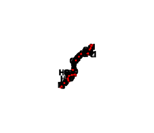 Cc1ncsc1-c1ccc([C@H](C)NC(=O)C2C[C@@H](O)CN2C(=O)C(NC(=O)COCCOCC(=O)N2CCN(c3ccc(OC[C@H]4CO[C@](CCn5ccnc5)(c5ccc(Cl)cc5Cl)O4)cc3)CC2)C(C)(C)C)cc1